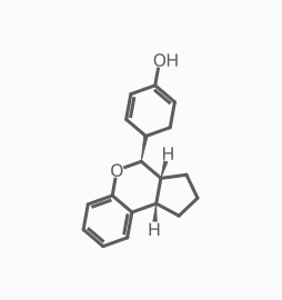 OC1=CCC([C@@H]2Oc3ccccc3[C@H]3CCC[C@H]32)C=C1